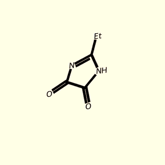 CCC1=NC(=O)C(=O)N1